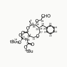 C[C@@H]1OC(=O)[C@@H](N(C(=O)OC(C)(C)C)C(=O)OC(C)(C)C)COC[C@H](Cc2ccccc2)[C@H]1OCC=O